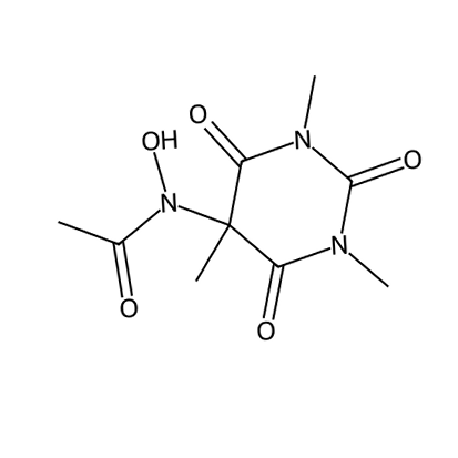 CC(=O)N(O)C1(C)C(=O)N(C)C(=O)N(C)C1=O